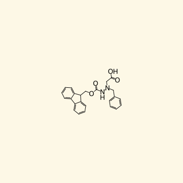 O=C(O)CN(Cc1ccccc1)NC(=O)OCC1c2ccccc2-c2ccccc21